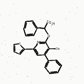 N#Cc1c(-c2ccccc2)cc(-c2cccs2)nc1OC(C(=O)O)c1ccccc1